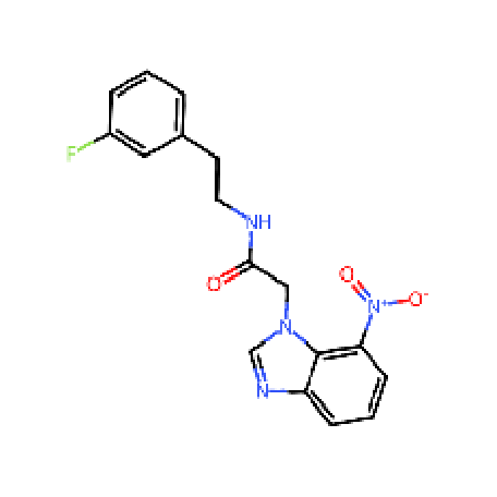 O=C(Cn1cnc2cccc([N+](=O)[O-])c21)NCCc1cccc(F)c1